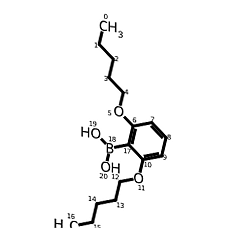 CCCCCOc1cccc(OCCCCC)c1B(O)O